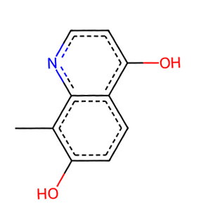 Cc1c(O)ccc2c(O)ccnc12